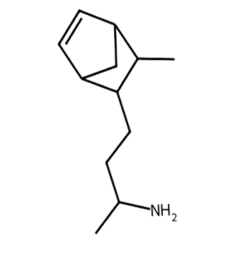 CC(N)CCC1C2C=CC(C2)C1C